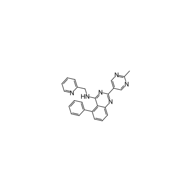 Cc1ncc(-c2nc(NCc3ccccn3)c3c(-c4ccccc4)cccc3n2)cn1